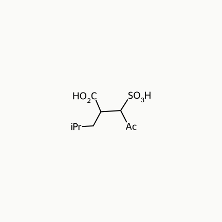 CC(=O)C(C(CC(C)C)C(=O)O)S(=O)(=O)O